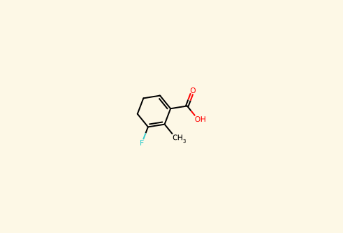 CC1=C(F)CCC=C1C(=O)O